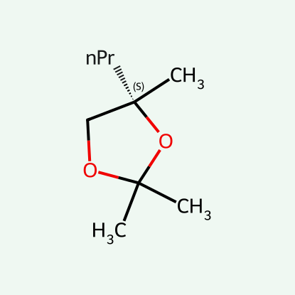 CCC[C@@]1(C)COC(C)(C)O1